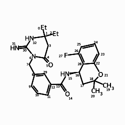 CCC1(CC)CC(=O)N(Cc2cccc(C(=O)N[C@@H]3CC(C)(C)Oc4cccc(F)c43)c2)C(=N)N1